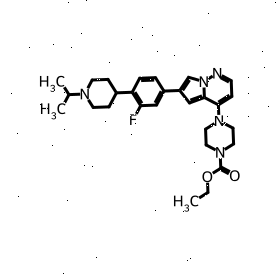 CCOC(=O)N1CCN(c2ccnn3cc(-c4ccc(C5CCN(C(C)C)CC5)c(F)c4)cc23)CC1